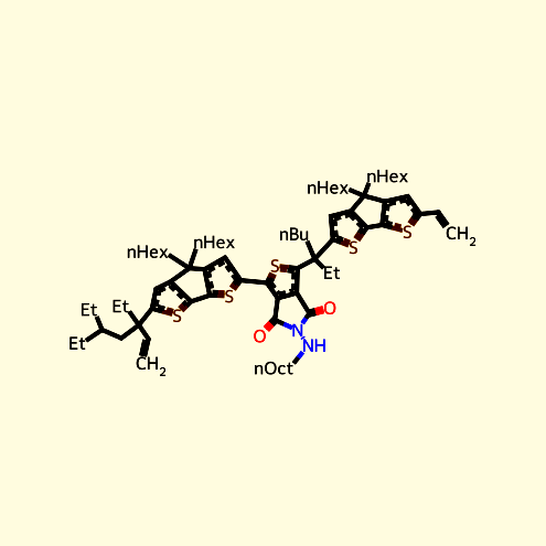 C=Cc1cc2c(s1)-c1sc(C(CC)(CCCC)c3sc(-c4cc5c(s4)-c4sc(C(C=C)(CC)CC(CC)CC)cc4C5(CCCCCC)CCCCCC)c4c3C(=O)N(NCCCCCCCC)C4=O)cc1C2(CCCCCC)CCCCCC